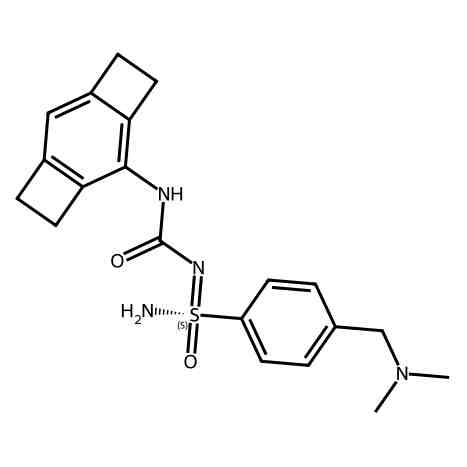 CN(C)Cc1ccc([S@@](N)(=O)=NC(=O)Nc2c3c(cc4c2CC4)CC3)cc1